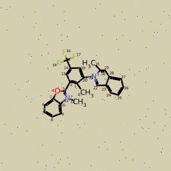 Cc1c(-c2oc3ccccc3[n+]2C)cc(C(F)(F)F)cc1-[n+]1cc2ccccc2cc1C